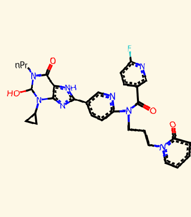 CCCN1C(=O)c2[nH]c(-c3ccc(N(CCCn4ccccc4=O)C(=O)c4ccc(F)nc4)nc3)nc2N(C2CC2)C1O